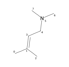 CC(C)=CCN(C)C